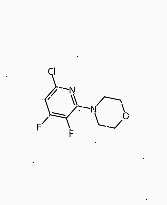 Fc1[c]c(Cl)nc(N2CCOCC2)c1F